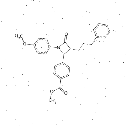 COC(=O)c1ccc(C2C(CCCc3ccccc3)C(=O)N2c2ccc(OC)cc2)cc1